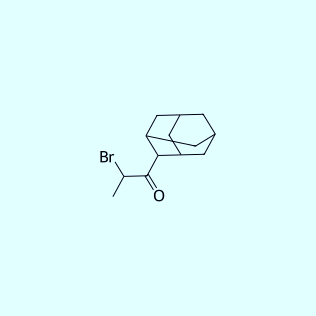 CC(Br)C(=O)C1C2CC3CC(C2)CC1C3